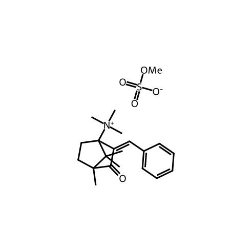 CC12CCC([N+](C)(C)C)(C(=Cc3ccccc3)C1=O)C2(C)C.COS(=O)(=O)[O-]